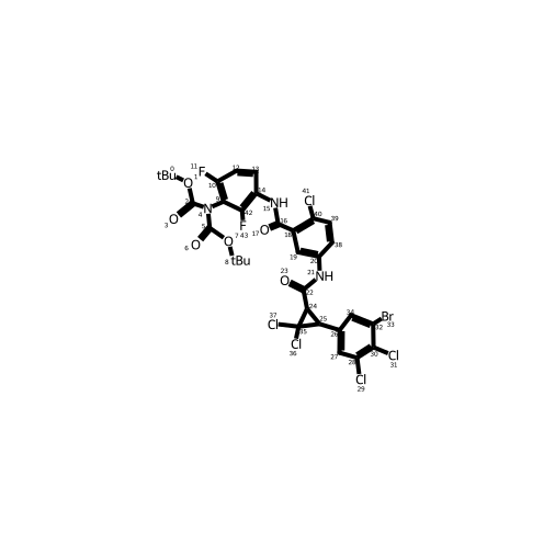 CC(C)(C)OC(=O)N(C(=O)OC(C)(C)C)c1c(F)ccc(NC(=O)c2cc(NC(=O)C3C(c4cc(Cl)c(Cl)c(Br)c4)C3(Cl)Cl)ccc2Cl)c1F